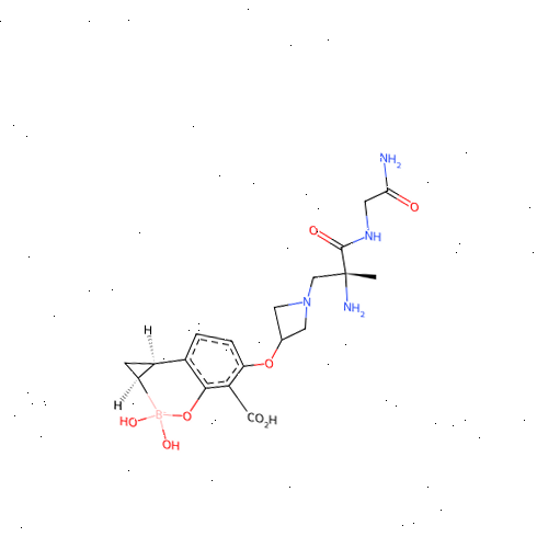 C[C@@](N)(CN1CC(Oc2ccc3c(c2C(=O)O)O[B-](O)(O)[C@H]2C[C@@H]32)C1)C(=O)NCC(N)=O